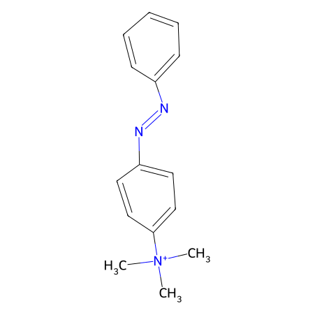 C[N+](C)(C)c1ccc(/N=N/c2ccccc2)cc1